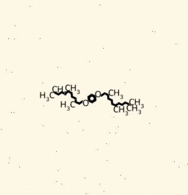 CC(C)CCCC(C)CCCC(C)CCOc1ccc(OCCC(C)CCCC(C)CCCC(C)C)cc1